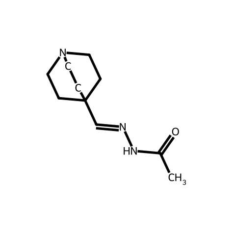 CC(=O)N/N=C/C12CCN(CC1)CC2